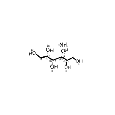 N.OC[C@@H](O)[C@@H](O)[C@H](O)[C@@H](O)CO